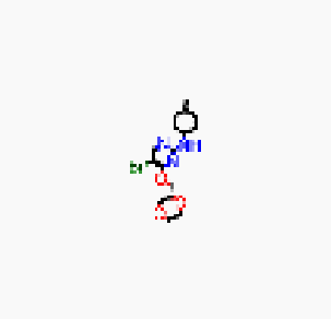 CC1CCC(Nc2ncc(Br)c(OC[C@H]3COCCO3)n2)CC1